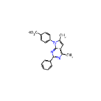 Cc1nc(-c2ccccc2)nc2c1cc(C)n2-c1ccc(C(=O)O)cc1